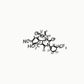 C=CC[C@@]1(c2ccc(C#N)cc2S(C)(=O)=O)C(C(=O)O)=C(C)N(c2cccc(C(F)(F)F)c2)C(=O)N1C